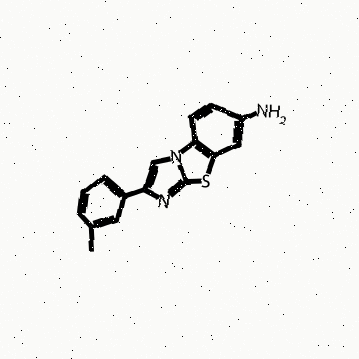 Cc1cccc(-c2cn3c(n2)sc2cc(N)ccc23)c1